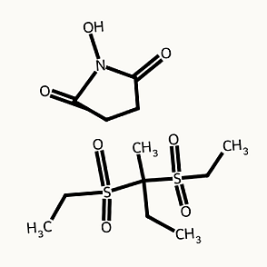 CCC(C)(S(=O)(=O)CC)S(=O)(=O)CC.O=C1CCC(=O)N1O